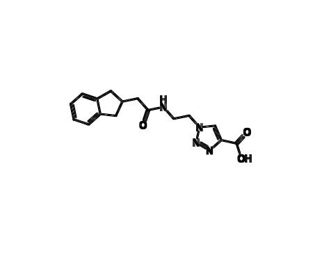 O=C(CC1Cc2ccccc2C1)NCCn1cc(C(=O)O)nn1